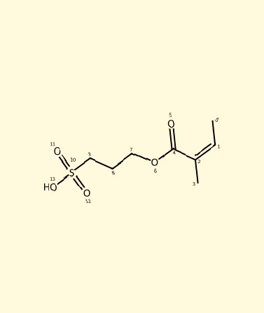 CC=C(C)C(=O)OCCCS(=O)(=O)O